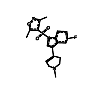 Cc1noc(C)c1S(=O)(=O)n1cc(C2=CCN(C)CC2)c2cc(F)ccc21